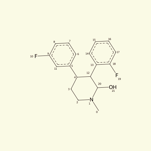 CN1CCC(c2cccc(F)c2)C(c2ccccc2F)C1O